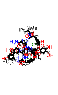 CN[C@H](CC(C)C)C(=O)N[C@H]1C(=O)N[C@@H](CCC(N)=O)C(=O)N[C@H]2C(=O)N[C@H]3C(=O)N[C@H](C(=O)N[C@H](C(=O)O)c4cc(O)cc(O)c4-c4cc3ccc4O)[C@H](O)c3ccc(c(Cl)c3)Oc3cc2cc(c3O[C@@H]2C[C@H](CO)[C@@H](O)[C@H](O)[C@H]2O[C@H]2C[C@](C)(N)[C@H](O)[C@H](C)O2)Oc2ccc(cc2Cl)[C@H]1O